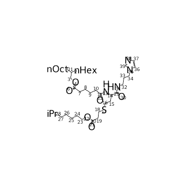 CCCCCCCCC(CCCCCC)COC(=O)CCCCC(=O)NC(CCSCCC(=O)OCCCCCC(C)C)C(=O)NCCCn1ccnc1